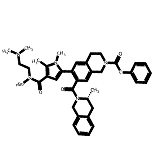 CCCCN(CCN(C)C)C(=O)c1cc(-c2cc3c(cc2C(=O)N2Cc4ccccc4C[C@H]2C)CN(C(=O)Oc2ccccc2)CC3)n(C)c1C